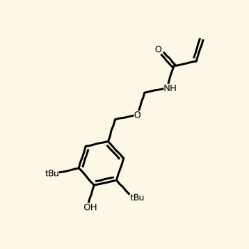 C=CC(=O)NCOCc1cc(C(C)(C)C)c(O)c(C(C)(C)C)c1